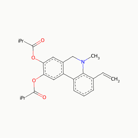 C=Cc1cccc2c1N(C)Cc1cc(OC(=O)C(C)C)c(OC(=O)C(C)C)cc1-2